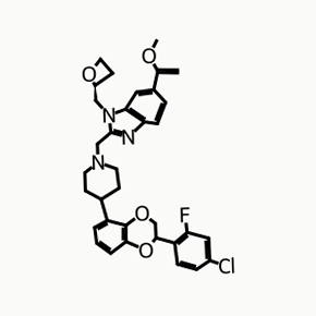 C=C(OC)c1ccc2nc(CN3CCC(c4cccc5c4OCC(c4ccc(Cl)cc4F)O5)CC3)n(C[C@@H]3CCO3)c2c1